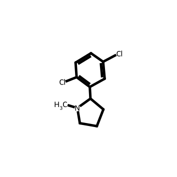 CN1CCCC1c1cc(Cl)ccc1Cl